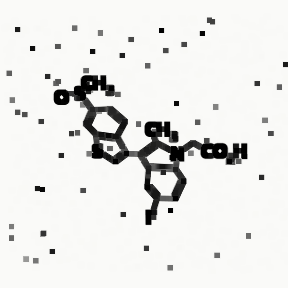 Cc1c(-c2csc3cc([S+](C)[O-])ccc23)c2cc(F)ccc2n1CC(=O)O